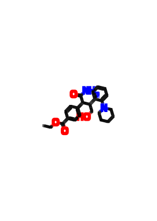 CCOC(=O)c1ccc(C(C(N)=O)C(CO)c2ccccc2N2CCCCC2)cc1